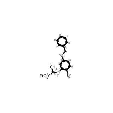 CCOC(=O)[C@@H](C)Oc1cc(OCc2ccccc2)ccc1Br